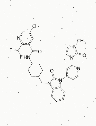 Cn1ccn(-c2cc(-n3c(=O)n(CC4CCC(NC(=O)c5cc(Cl)cnc5C(F)F)CC4)c4ccccc43)ccn2)c1=O